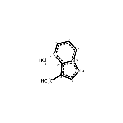 Cl.O=C(O)c1cnn2cccnc12